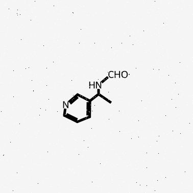 CC(N[C]=O)c1cccnc1